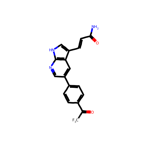 NC(=O)/C=C/c1c[nH]c2ncc(-c3ccc(C(=O)C(F)(F)F)cc3)cc12